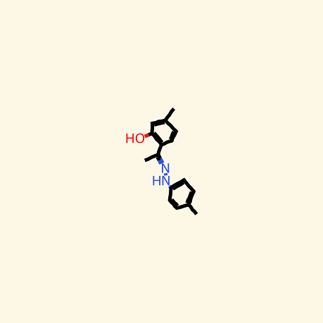 C/C(=N\Nc1ccc(C)cc1)c1ccc(C)cc1O